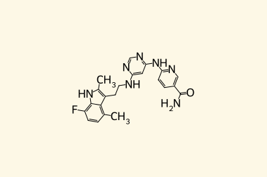 Cc1[nH]c2c(F)ccc(C)c2c1CCNc1cc(Nc2ccc(C(N)=O)cn2)ncn1